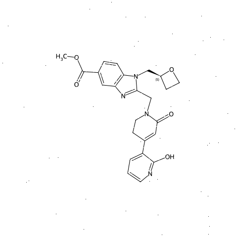 COC(=O)c1ccc2c(c1)nc(CN1CCC(c3cccnc3O)=CC1=O)n2C[C@@H]1CCO1